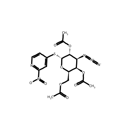 CC(=O)OC[C@H]1O[C@H](Sc2ccnc([N+](=O)[O-])c2)[C@H](OC(C)=O)[C@@H](N=[N+]=[N-])[C@H]1OC(C)=O